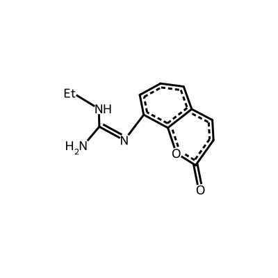 CCNC(N)=Nc1cccc2ccc(=O)oc12